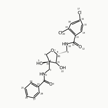 O=C(NC[C@]1(O)CO[C@H](CNC(=O)c2ccc(Cl)cc2Cl)C1O)c1ccccc1